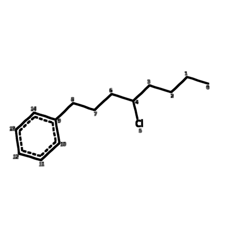 CCCCC(Cl)CCCc1ccccc1